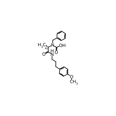 COc1ccc(CCCNC(=O)[C@@H](C)N(Cc2ccccc2)C(=O)O)cc1